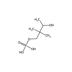 CC(O)C(C)(C)COP(=O)(O)O